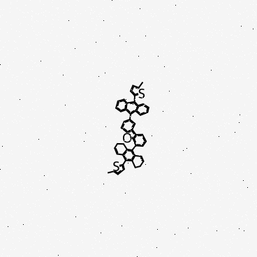 Cc1ccc(-c2c3c(c(-c4cccc5c4oc4ccc(-c6c7ccccc7c(-c7ccc(C)s7)c7ccccc67)cc45)c4c2CCC=C4)CCC=C3)s1